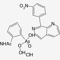 CC(=O)Nc1ccccc1[As](=O)(O)OO.Cl.O=[N+]([O-])c1cccc(-c2nccc3cccnc23)c1